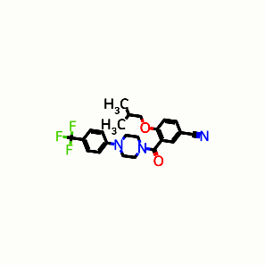 CC(C)COc1ccc(C#N)cc1C(=O)N1CCN(c2ccc(C(F)(F)F)cc2)CC1